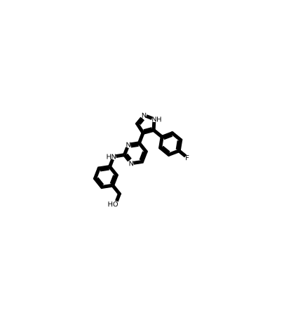 OCc1cccc(Nc2nccc(-c3cn[nH]c3-c3ccc(F)cc3)n2)c1